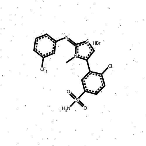 Br.Cn1c(-c2cc(S(N)(=O)=O)ccc2Cl)cs/c1=N/c1cccc(C(F)(F)F)c1